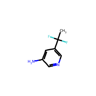 CC(F)(F)c1cncc(N)c1